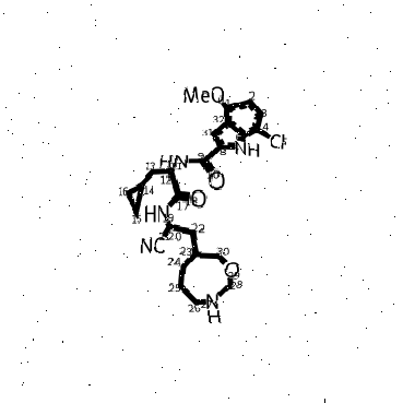 COc1ccc(Cl)c2[nH]c(C(=O)NC(CC3CC3)C(=O)NC(C#N)CC3CCCNCOC3)cc12